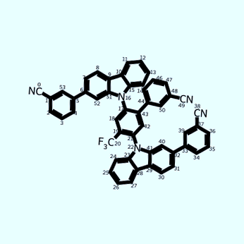 N#Cc1cccc(-c2ccc3c4ccccc4n(-c4cc(C(F)(F)F)c(-n5c6ccccc6c6ccc(-c7cccc(C#N)c7)cc65)cc4-c4cccc(C#N)c4)c3c2)c1